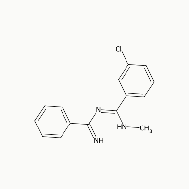 CN/C(=N\C(=N)c1ccccc1)c1cccc(Cl)c1